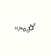 N[C@H]1C[C@H](Oc2ccc(F)nc2)C1